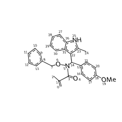 C=C(C)C(=O)N(OCc1ccccc1)C(c1ccc(OC)cc1)c1c(C)[nH]c2ccccc12